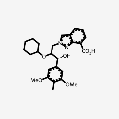 COc1cc([C@@H](O)[C@H](Cn2cc3cccc(C(=O)O)c3n2)OC2CCCCC2)cc(OC)c1C